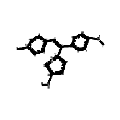 COc1ccc(C(=Cc2ccc(C)cc2)c2ccc(OC)cc2)cc1